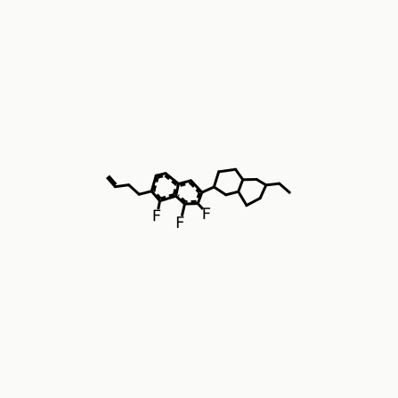 C=CCCc1ccc2cc(C3CCC4CC(CC)CCC4C3)c(F)c(F)c2c1F